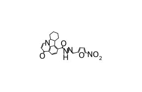 O=C(N/N=C/c1ccc([N+](=O)[O-])o1)c1ccc2c(=O)ccn3c2c1C1CCCCC13